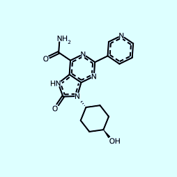 NC(=O)c1nc(-c2cccnc2)nc2c1[nH]c(=O)n2[C@H]1CC[C@H](O)CC1